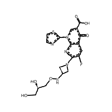 O=C(O)c1cn(-c2nccs2)c2nc(N3CC(NOC[C@H](O)CO)C3)c(F)cc2c1=O